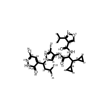 CC(C)c1nocc1C(=O)NC(C(=O)Nc1cn(C(CC(F)F)c2cc(Cl)n[nH]c2=O)nc1F)C(C1CC1)C1CC1